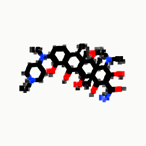 C[C@H]1c2ccc(N(C)C3CCN(C)CC3)c(O)c2C(=O)C2=C(O)[C@]3(N=O)C(=O)C(C(N)=O)=C(O)[C@@H](N(C)C)[C@@H]3[C@@H](O)[C@@H]21